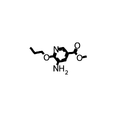 CCCOc1ncc(C(=O)OC)cc1N